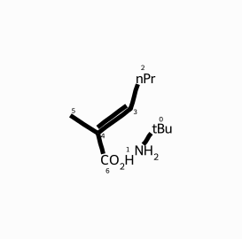 CC(C)(C)N.CCCC=C(C)C(=O)O